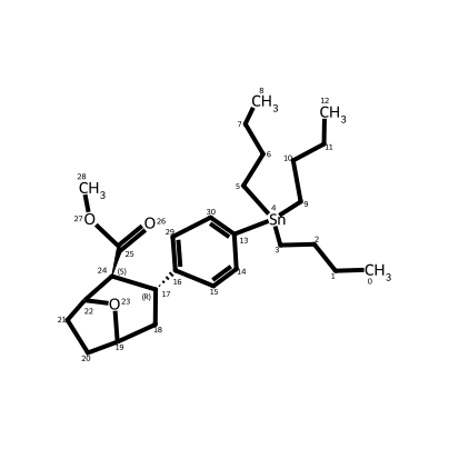 CCC[CH2][Sn]([CH2]CCC)([CH2]CCC)[c]1ccc([C@@H]2CC3CCC(O3)[C@H]2C(=O)OC)cc1